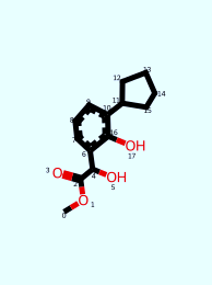 COC(=O)C(O)c1cccc(C2CCCC2)c1O